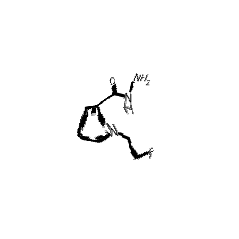 NNC(=O)c1cccn1CCF